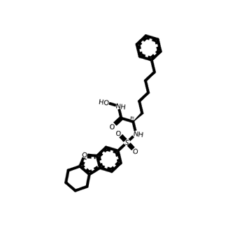 O=C(NO)[C@@H](CCCCCc1ccccc1)NS(=O)(=O)c1ccc2c3c(oc2c1)CCCC3